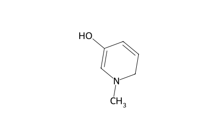 CN1C=C(O)C=CC1